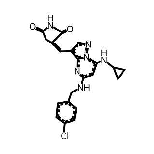 O=C1CC(=Cc2cnn3c(NC4CC4)cc(NCc4ccc(Cl)cc4)nc23)C(=O)N1